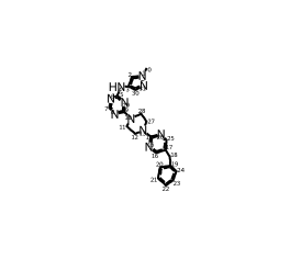 Cn1cc(Nc2ncnc(N3CCN(c4ncc(Cc5ccccc5)cn4)CC3)n2)cn1